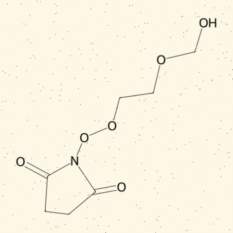 O=C1CCC(=O)N1OOCCOCO